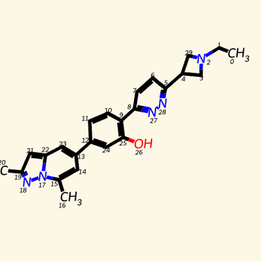 CCN1CC(c2ccc(-c3ccc(-c4cc(C)n5nc(C)cc5c4)cc3O)nn2)C1